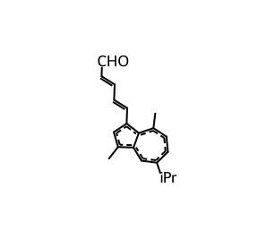 Cc1cc(/C=C/C=C/C=O)c2c(C)ccc(C(C)C)cc1-2